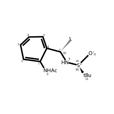 CC(=O)Nc1ccccc1[C@H](C)N[S@@+]([O-])C(C)(C)C